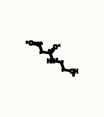 O=NCC(=O)NCCO